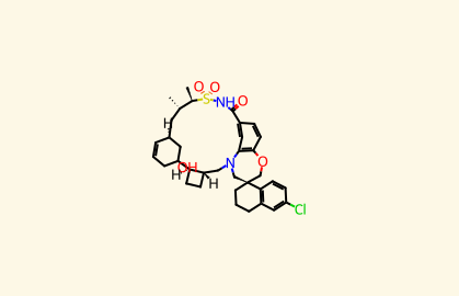 C[C@@H]1[C@@H](C)C[C@@H]2C=CC[C@](O)(C2)[C@@H]2CC[C@H]2CN2C[C@@]3(CCCc4cc(Cl)ccc43)COc3ccc(cc32)C(=O)NS1(=O)=O